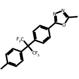 Cc1ccc(C(c2ccc(-c3nnc(C)o3)cc2)(C(F)(F)F)C(F)(F)F)cc1